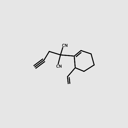 C#CCC(C#N)(C#N)C1=CCCCC1C=C